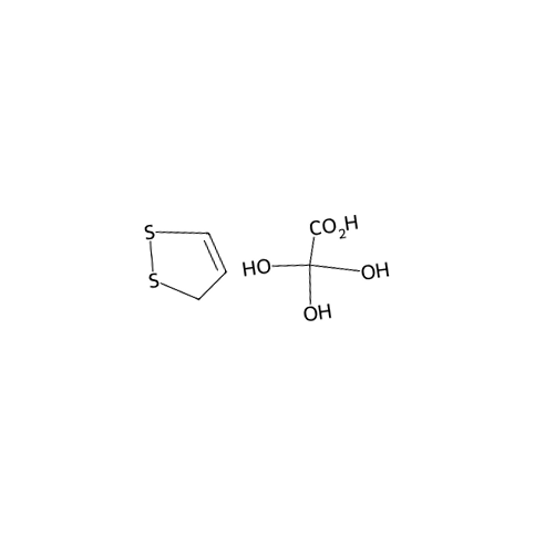 C1=CSSC1.O=C(O)C(O)(O)O